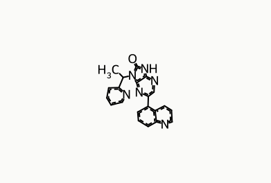 CC(c1ccccn1)n1c(=O)[nH]c2ncc(-c3cccc4ncccc34)nc21